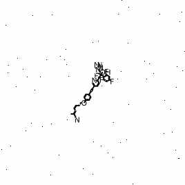 C/C(C#N)=C\C=C/CCOc1ccc(C#Cc2ccc(C(F)(F)C(O)(Cn3cnnn3)c3ccc(F)cc3F)nc2)cc1